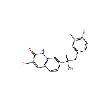 CCc1cc2ccc(C(C)(C#N)Cc3ccc(F)c(C)c3)cc2[nH]c1=O